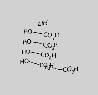 O=C(O)O.O=C(O)O.O=C(O)O.O=C(O)O.O=C(O)O.[LiH]